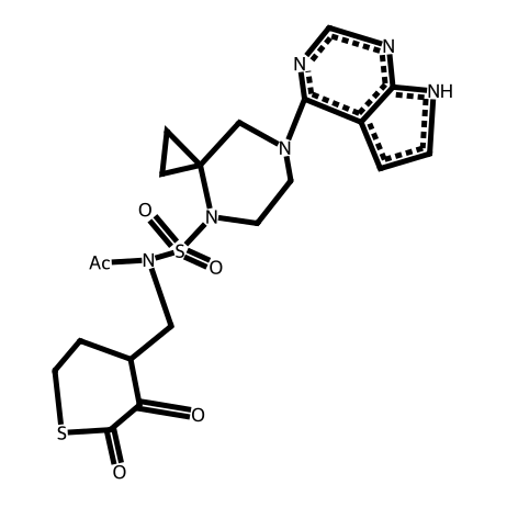 CC(=O)N(CC1CCSC(=O)C1=O)S(=O)(=O)N1CCN(c2ncnc3[nH]ccc23)CC12CC2